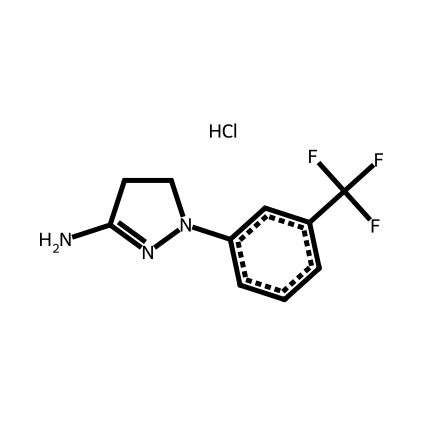 Cl.NC1=NN(c2cccc(C(F)(F)F)c2)CC1